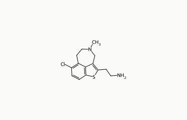 CN1CCc2c(Cl)ccc3sc(CCN)c(c23)C1